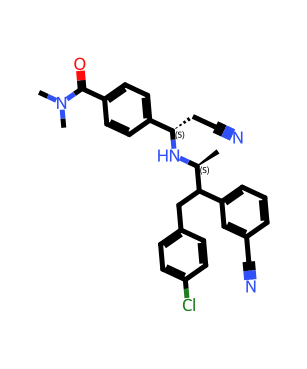 C[C@H](N[C@@H](CC#N)c1ccc(C(=O)N(C)C)cc1)C(Cc1ccc(Cl)cc1)c1cccc(C#N)c1